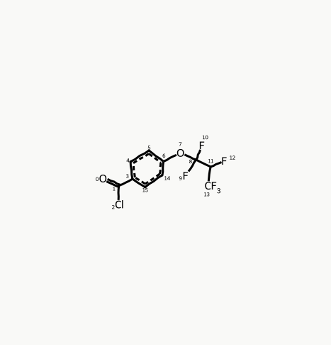 O=C(Cl)c1ccc(OC(F)(F)C(F)C(F)(F)F)cc1